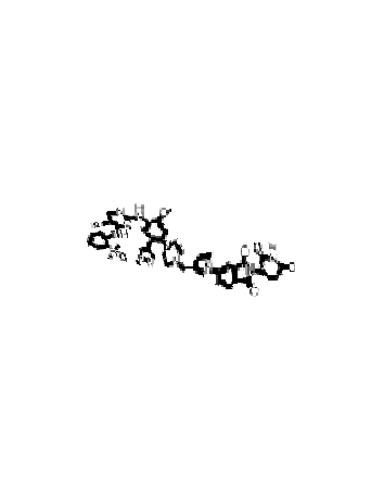 COc1cc(N2CCN(C[C@H]3CCN(c4ccc5c(c4)C(=O)N(C4CCC(=O)NC4=O)C5=O)C3)CC2)c(-c2cnn(C)c2)cc1Nc1ncc(Br)c(Nc2ccccc2P(C)(C)=O)n1